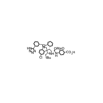 COc1cc(C(=O)O)ccc1NC(=O)[C@@H]1N[C@@H](CC(C)(C)C)[C@@]2(CN(Cc3cccc(-c4nnn[nH]4)c3)c3ccc(Cl)cc32)[C@@H]1c1ccccc1Cl